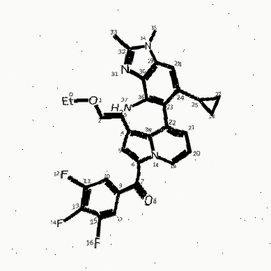 CCO/C=C/c1cc(C(=O)c2cc(F)c(F)c(F)c2)n2cccc(-c3c(C4CC4)cc4c(nc(C)n4C)c3N)c12